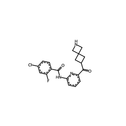 O=C(Nc1cccc(C(=O)C2CC3(CNC3)C2)n1)c1ccc(Cl)cc1F